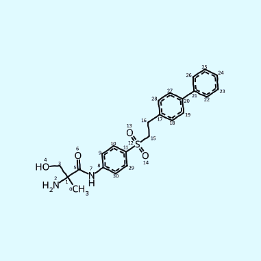 CC(N)(CO)C(=O)Nc1ccc(S(=O)(=O)CCc2ccc(-c3ccccc3)cc2)cc1